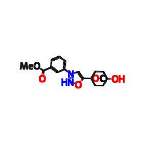 COC(=O)c1cccc(N2C=C(C34CCC(O)(CC3)CO4)ON2)c1